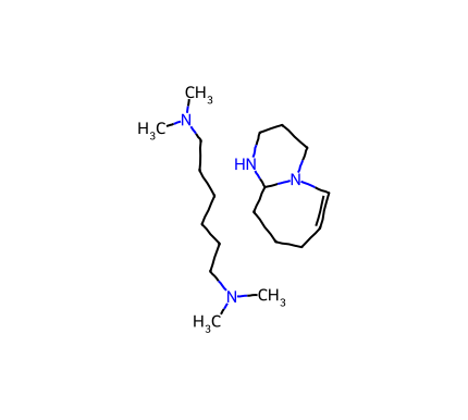 C1=CN2CCCNC2CCC1.CN(C)CCCCCCN(C)C